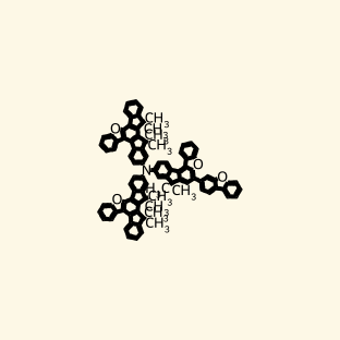 CC1(C)c2cc(N(c3ccc4c(c3)C(C)(C)c3c5c(c6c(oc7ccccc76)c3-4)-c3ccccc3C5(C)C)c3ccc4c(c3)C(C)(C)c3c5c(c6oc7ccccc7c6c3-4)-c3ccccc3C5(C)C)ccc2-c2c1cc(-c1ccc3c(c1)oc1ccccc13)c1oc3ccccc3c21